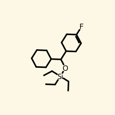 CC[Si](CC)(CC)OC(C1CC=C(F)CC1)C1CCCCC1